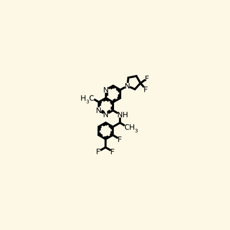 Cc1nnc(NC(C)c2cccc(C(F)F)c2F)c2cc(N3CCC(F)(F)C3)cnc12